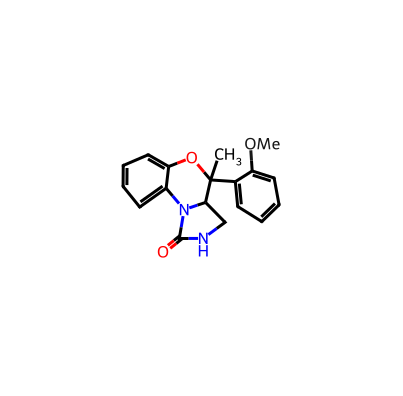 COc1ccccc1C1(C)Oc2ccccc2N2C(=O)NCC21